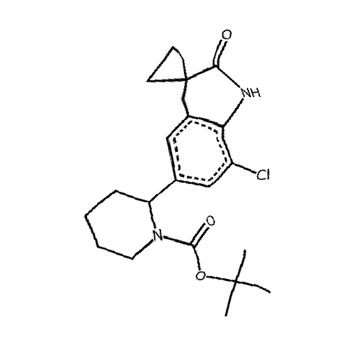 CC(C)(C)OC(=O)N1CCCCC1c1cc(Cl)c2c(c1)C1(CC1)C(=O)N2